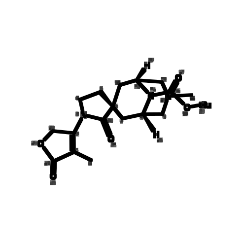 CC1=C(N2CC[C@@]3(C[C@H]4CN(C)C[C@@H](C3)N4C(=O)OC(C)(C)C)C2=O)COC1=O